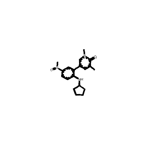 Cc1cc(-c2cc([Si](C)=O)ccc2NC2CCCC2)cn(C)c1=O